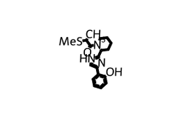 CSC(C)C(=O)N1CCCCC1c1nc(-c2ccccc2O)c[nH]1